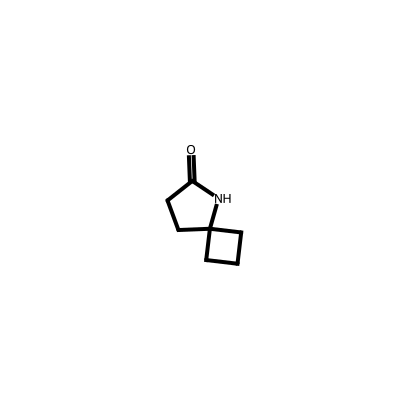 O=C1CCC2(CCC2)N1